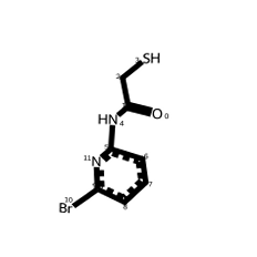 O=C(CS)Nc1cccc(Br)n1